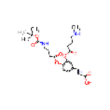 CNCCCC(=O)Oc1cc(/C=C/C(=O)O)ccc1OC(=O)CCCNC(=O)OC(C)(C)C